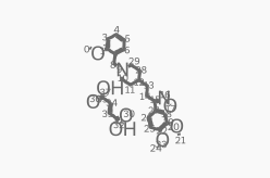 COc1ccccc1CN1CCC(CCc2noc3c(OC)c(OC)ccc23)CC1.O=C(O)/C=C/C(=O)O